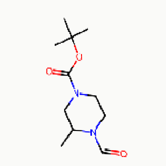 CC1CN(C(=O)OC(C)(C)C)CCN1C=O